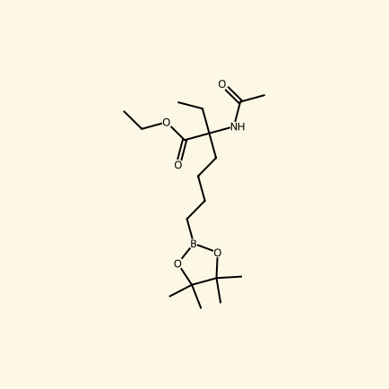 CCOC(=O)C(CC)(CCCCB1OC(C)(C)C(C)(C)O1)NC(C)=O